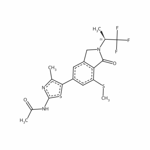 CSc1cc(-c2sc(NC(C)=O)nc2C)cc2c1C(=O)N([C@@H](C)C(F)(F)F)C2